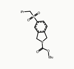 CC(C)CS(=O)(=O)c1ccc2c(c1)CN(C(=O)OC(C)(C)C)C2